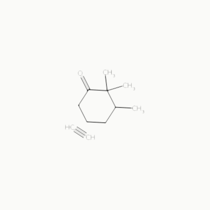 C#C.CC1CCCC(=O)C1(C)C